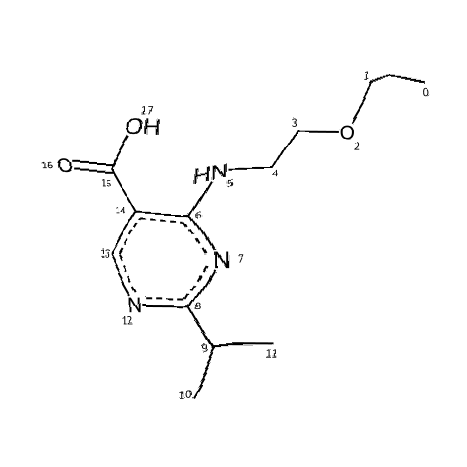 CCOCCNc1nc(C(C)C)ncc1C(=O)O